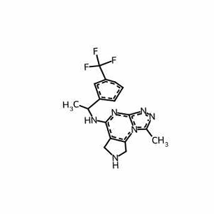 Cc1nnc2nc(NC(C)c3cccc(C(F)(F)F)c3)c3c(n12)CNC3